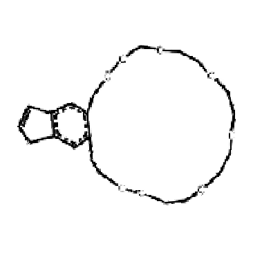 [CH]1C=Cc2cc3c(cc21)CCCCCCCCCCCCCCCCCCCC3